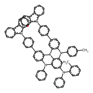 Cc1ccc(N2c3ccc(-c4ccc(-n5c6ccccc6c6ccccc65)cc4)cc3B3c4cc(-c5ccc(-n6c7ccccc7c7ccccc76)cc5)ccc4N(c4ccccc4)c4cc(N(c5ccccc5)c5ccccc5C)cc2c43)cc1